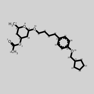 CC(=O)OC1CC(C)OC(OCCCCc2ccc(OCC3CCCC3)cc2)C1